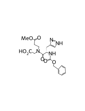 COC(=O)CCN(CC(=O)O)C(=O)[C@H](Cc1c[nH]cn1)NC(=O)OCc1ccccc1